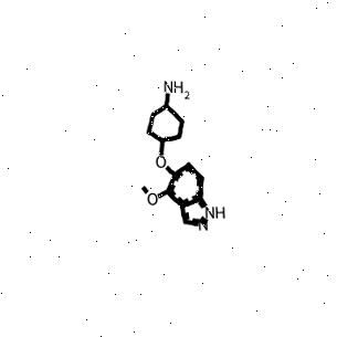 COc1c(OC2CCC(N)CC2)ccc2[nH]ncc12